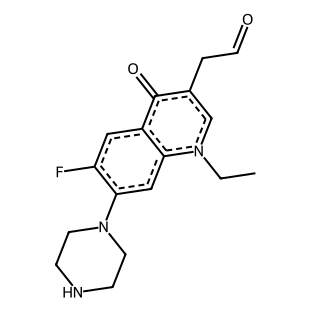 CCn1cc(CC=O)c(=O)c2cc(F)c(N3CCNCC3)cc21